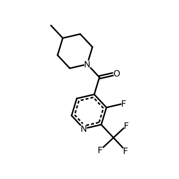 CC1CCN(C(=O)c2ccnc(C(F)(F)F)c2F)CC1